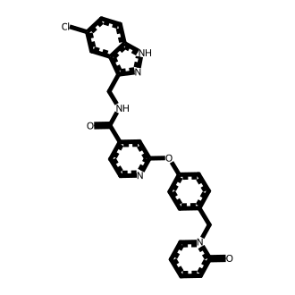 O=C(NCc1n[nH]c2ccc(Cl)cc12)c1ccnc(Oc2ccc(Cn3ccccc3=O)cc2)c1